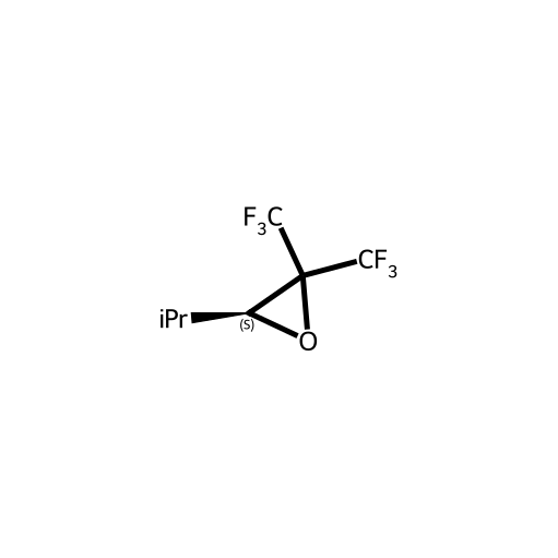 CC(C)[C@@H]1OC1(C(F)(F)F)C(F)(F)F